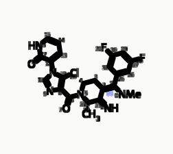 CN/C(=C1/CCN(C(=O)c2ncn(-c3ccc[nH]c3=O)c2Cl)[C@@H](C)C1=N)c1cc(F)cc(F)c1